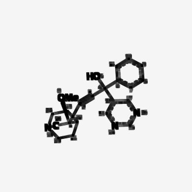 CO[C@]1(C#CC(O)(c2ccccc2)c2cncnc2)CN2CCC1CC2